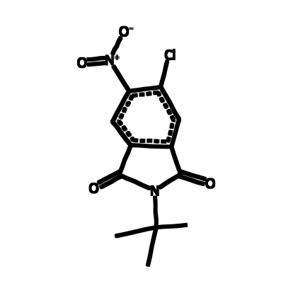 CC(C)(C)N1C(=O)c2cc(Cl)c([N+](=O)[O-])cc2C1=O